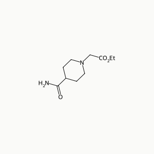 CCOC(=O)CN1CCC(C(N)=O)CC1